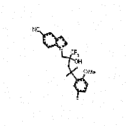 COc1ccc(F)cc1C(C)(C)CC(O)(Cn1ccc2cc(C#N)ccc21)C(F)(F)F